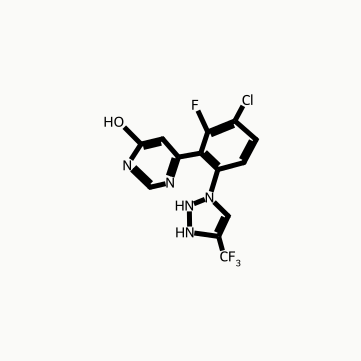 Oc1cc(-c2c(N3C=C(C(F)(F)F)NN3)ccc(Cl)c2F)ncn1